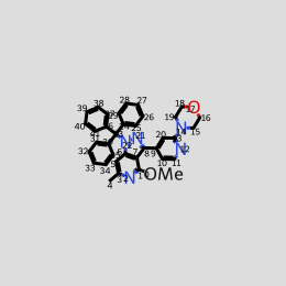 COc1nc(C)cc2c1c(-c1ccnc(N3CCOCC3)c1)nn2C(c1ccccc1)(c1ccccc1)c1ccccc1